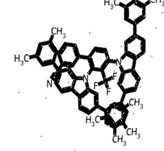 Cc1cc(C)cc(-c2ccc3c4ccc(-c5cc(C)cc(C)c5)cc4n(-c4ccc(-c5cccc(C#N)c5)c(-n5c6cc(-c7cc(C)cc(C)c7)ccc6c6ccc(-c7cc(C)cc(C)c7)cc65)c4C(F)(F)F)c3c2)c1